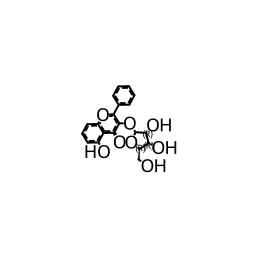 O=c1c(OC2O[C@H](CO)[C@H](O)[C@H]2O)c(-c2ccccc2)oc2cccc(O)c12